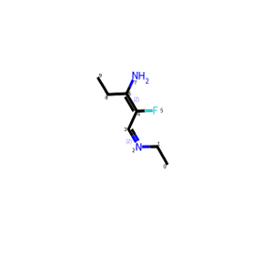 CC/N=C\C(F)=C(\N)CC